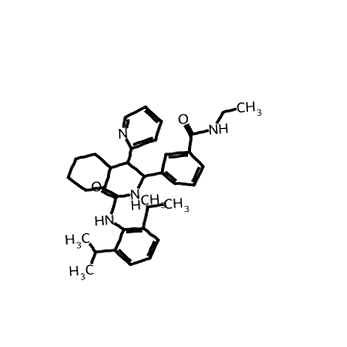 CCNC(=O)c1cccc(C(NC(=O)Nc2c(C(C)C)cccc2C(C)C)C(c2ccccn2)C2CCCCC2)c1